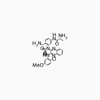 COc1ccc(Cl)c(Nc2nc3ccccc3nc2N(c2cc(NC(=O)[C@H](C)N)ccc2CN)[SH](=O)=O)c1